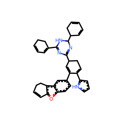 C1=CCCC(C2=NC(C3C=C(c4ccc5oc6c(c5c4)CCC=C6)C(c4ccc[nH]4)=CC3)=NC(C3C=CC=CC3)N2)=C1